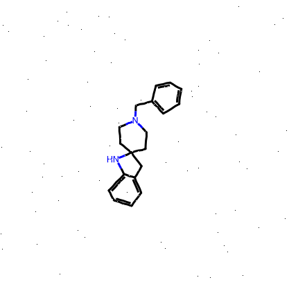 c1ccc(CN2CCC3(CC2)Cc2ccccc2N3)cc1